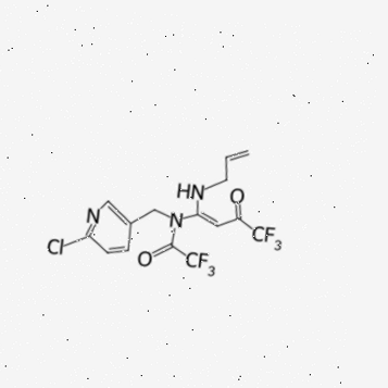 C=CCNC(=CC(=O)C(F)(F)F)N(Cc1ccc(Cl)nc1)C(=O)C(F)(F)F